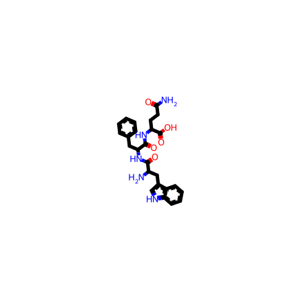 NC(=O)CCC(NC(=O)C(Cc1ccccc1)NC(=O)C(N)Cc1c[nH]c2ccccc12)C(=O)O